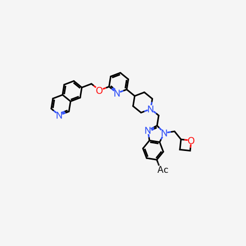 CC(=O)c1ccc2nc(CN3CCC(c4cccc(OCc5ccc6ccncc6c5)n4)CC3)n(CC3CCO3)c2c1